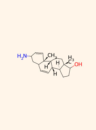 C[C@]12C=CC(N)CC1C=C[C@@H]1[C@H]2CC[C@]2(C)C(O)CC[C@@H]12